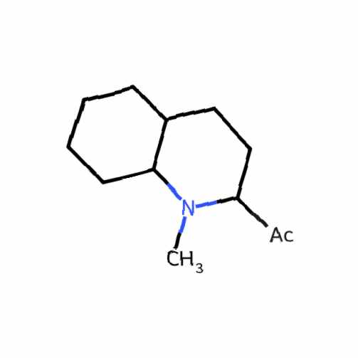 CC(=O)C1CCC2CCCCC2N1C